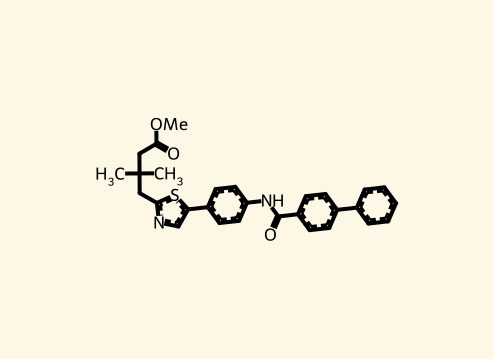 COC(=O)CC(C)(C)Cc1ncc(-c2ccc(NC(=O)c3ccc(-c4ccccc4)cc3)cc2)s1